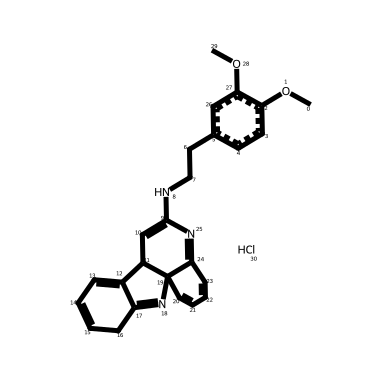 COc1ccc(CCNC2=CC3C4=CC=CCC4=NC34C=CC=CC4=N2)cc1OC.Cl